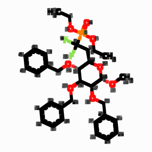 CCOP(=O)(OCC)C(F)(F)C[C@H]1O[C@H](OC)[C@@H](OCc2ccccc2)[C@@H](OCc2ccccc2)[C@@H]1OCc1ccccc1